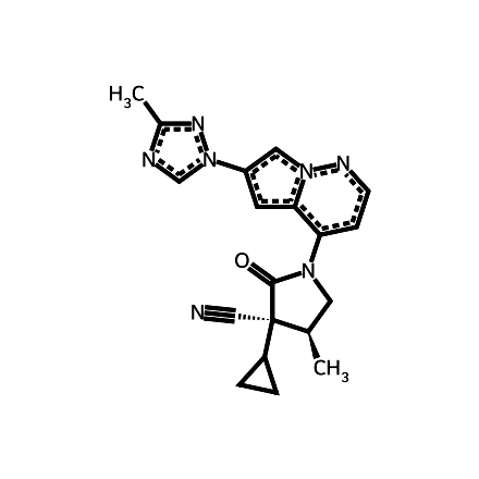 Cc1ncn(-c2cc3c(N4C[C@@H](C)[C@@](C#N)(C5CC5)C4=O)ccnn3c2)n1